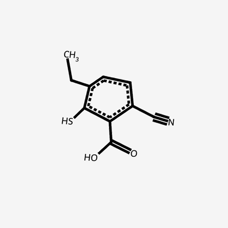 CCc1ccc(C#N)c(C(=O)O)c1S